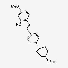 CCCCC[C@H]1CC[C@H](c2ccc(CSc3ccc(OC)cc3C#N)cc2)CC1